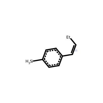 CC/C=C\c1ccc([SiH3])cc1